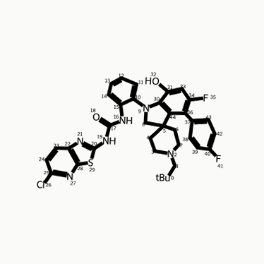 CC(C)(C)CN1CCC2(CC1)CN(c1ccccc1NC(=O)Nc1nc3ccc(Cl)nc3s1)c1c(O)cc(F)c(-c3ccc(F)cc3)c12